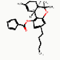 CCCCCc1cc(OC(=O)c2ccccc2)c2c(c1)OC(C)(C)[C@@H]1CCC(C)=C[C@@H]21